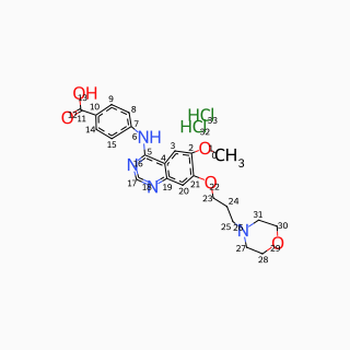 COc1cc2c(Nc3ccc(C(=O)O)cc3)ncnc2cc1OCCCN1CCOCC1.Cl.Cl